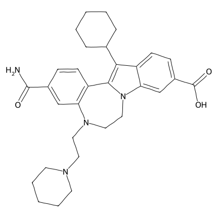 NC(=O)c1ccc2c(c1)N(CCN1CCCCC1)CCn1c-2c(C2CCCCC2)c2ccc(C(=O)O)cc21